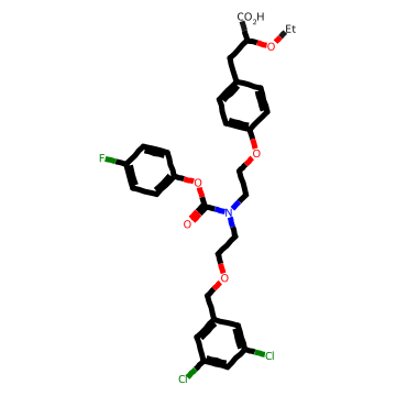 CCOC(Cc1ccc(OCCN(CCOCc2cc(Cl)cc(Cl)c2)C(=O)Oc2ccc(F)cc2)cc1)C(=O)O